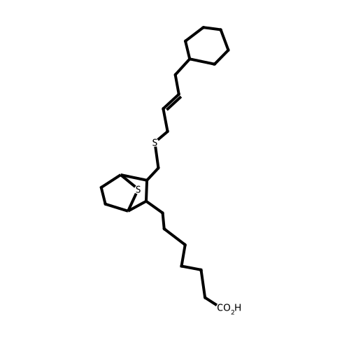 O=C(O)CCCCCCC1C2CCC(S2)C1CSCC=CCC1CCCCC1